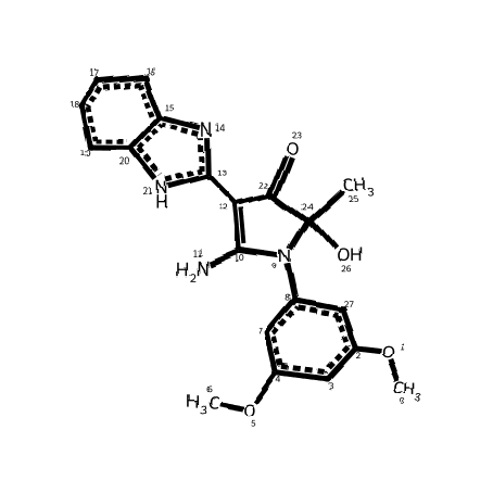 COc1cc(OC)cc(N2C(N)=C(c3nc4ccccc4[nH]3)C(=O)C2(C)O)c1